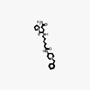 NC(=O)CCC(NCCCCCC(=O)NC1CCN(Cc2ccccc2)CC1)C(=O)N1CCCC1